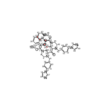 CC(C)(C)OC(=O)N1CCN(Cc2ccc(-n3ccnc3)cc2)C(C(=O)C2[C@@H](COCc3ccccc3)N(C(=O)OC(C)(C)C)CCN2Cc2ccc(-n3ccnc3)cc2)[C@H]1COCc1ccccc1